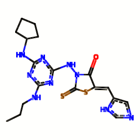 CCCNc1nc(NC2CCCC2)nc(NN2C(=O)/C(=C/c3cnc[nH]3)SC2=S)n1